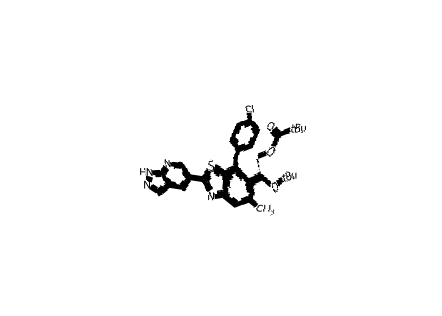 Cc1cc2nc(-c3cnc4[nH]ncc4c3)sc2c(-c2ccc(Cl)cc2)c1[C@H](COC(=O)C(C)(C)C)OC(C)(C)C